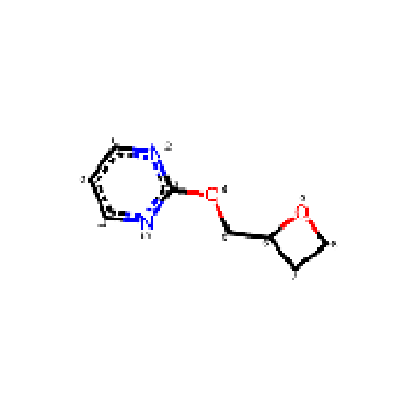 c1cnc(OCC2CCO2)nc1